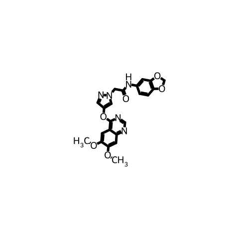 COc1cc2ncnc(Oc3cnn(CC(=O)Nc4ccc5c(c4)OCO5)c3)c2cc1OC